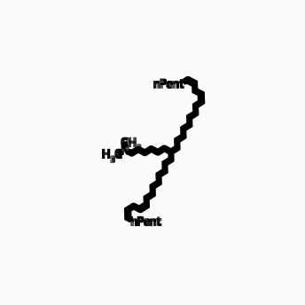 CCCCC/C=C\C/C=C\CCCCCCCCC(CCCCCCCC/C=C\C/C=C\CCCCC)CCCCCCN(C)C